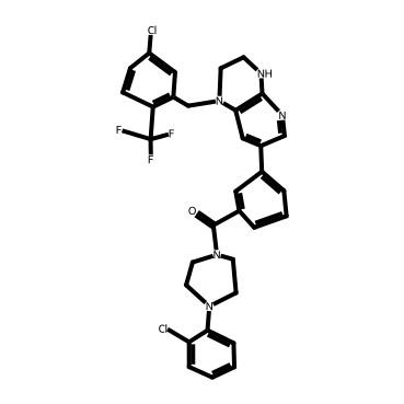 O=C(c1cccc(-c2cnc3c(c2)N(Cc2cc(Cl)ccc2C(F)(F)F)CCN3)c1)N1CCN(c2ccccc2Cl)CC1